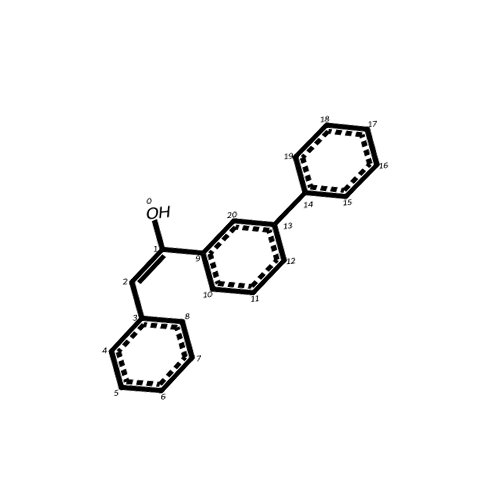 O/C(=C/c1ccccc1)c1cccc(-c2ccccc2)c1